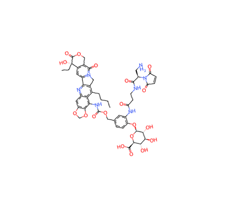 CCCCc1c2c(nc3cc4c(c(NC(=O)OCc5ccc(O[C@@H]6O[C@H](C(=O)O)[C@@H](O)[C@H](O)[C@H]6O)c(NC(=O)CCNC(=O)[C@@H](CN)N6C(=O)C=CC6=O)c5)c13)OCO4)-c1cc3c(c(=O)n1C2)COC(=O)[C@]3(O)CC